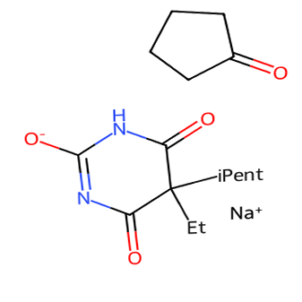 CCCC(C)C1(CC)C(=O)N=C([O-])NC1=O.O=C1CCCC1.[Na+]